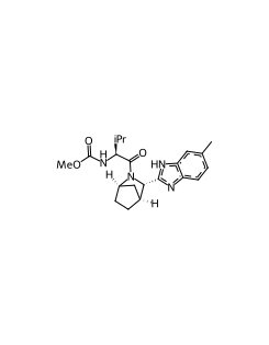 COC(=O)N[C@H](C(=O)N1[C@@H]2CC[C@@H](C2)[C@H]1c1nc2ccc(C)cc2[nH]1)C(C)C